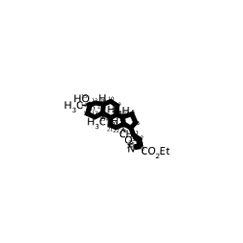 CCOC(=O)c1cc(C2CC[C@H]3[C@@H]4CC[C@H]5C[C@](C)(O)CC[C@]5(C)[C@H]4CC[C@]23C)on1